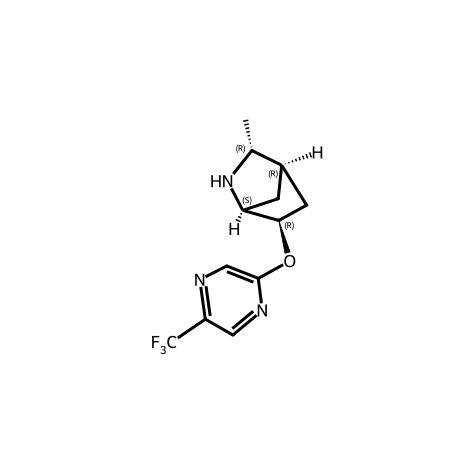 C[C@H]1N[C@H]2C[C@@H]1C[C@H]2Oc1cnc(C(F)(F)F)cn1